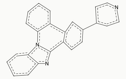 c1ccc2c(c1)nc1c3ccc(-c4ccncc4)cc3c3ccccc3n21